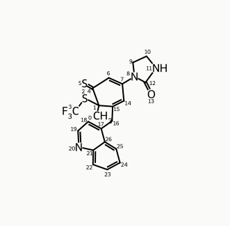 CC1(SC(F)(F)F)C(=S)C=C(N2CCNC2=O)C=C1Cc1ccnc2ccccc12